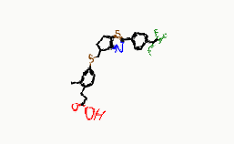 Cc1cc(SCC2CCc3sc(-c4ccc(C(F)(F)F)cc4)nc32)ccc1CCC(=O)O